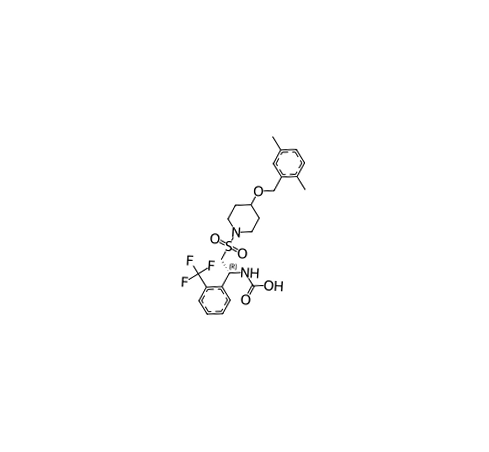 Cc1ccc(C)c(COC2CCN(S(=O)(=O)C[C@H](NC(=O)O)c3ccccc3C(F)(F)F)CC2)c1